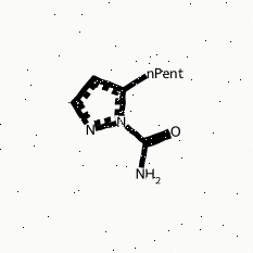 CCCCCc1c[c]nn1C(N)=O